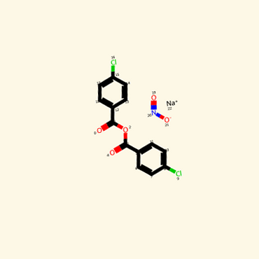 O=C(OC(=O)c1ccc(Cl)cc1)c1ccc(Cl)cc1.O=N[O-].[Na+]